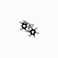 [2H]C1=C(C(=O)OCC)[C@H](S(=O)(=O)N([2H])c2c([2H])c([2H])c(F)c([2H])c2Cl)C([2H])([2H])C([2H])([2H])C1